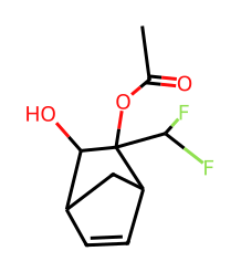 CC(=O)OC1(C(F)F)C2C=CC(C2)C1O